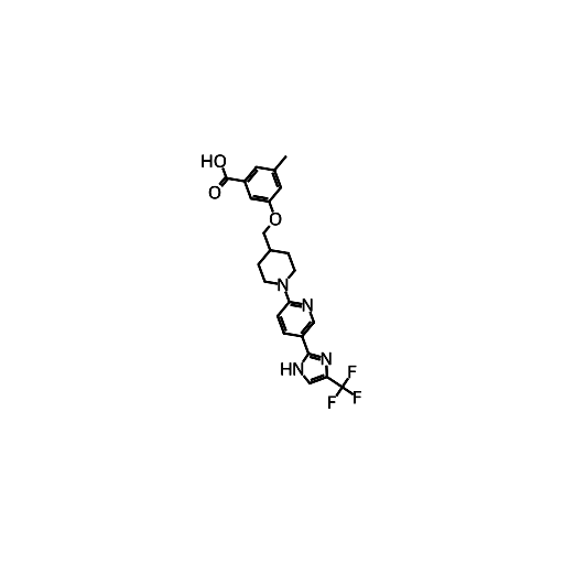 Cc1cc(OCC2CCN(c3ccc(-c4nc(C(F)(F)F)c[nH]4)cn3)CC2)cc(C(=O)O)c1